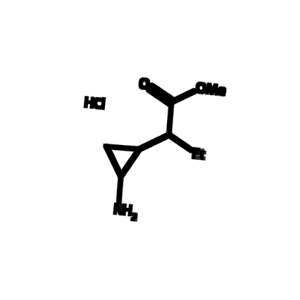 CCC(C(=O)OC)C1CC1N.Cl